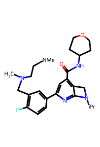 CNCCN(C)Cc1cc(-c2cc(C(=O)NC3CCOCC3)c3c(n2)N(C(C)C)C3)ccc1F